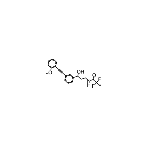 COc1ccccc1C#Cc1cccc(C(O)CCNC(=O)C(F)(F)F)c1